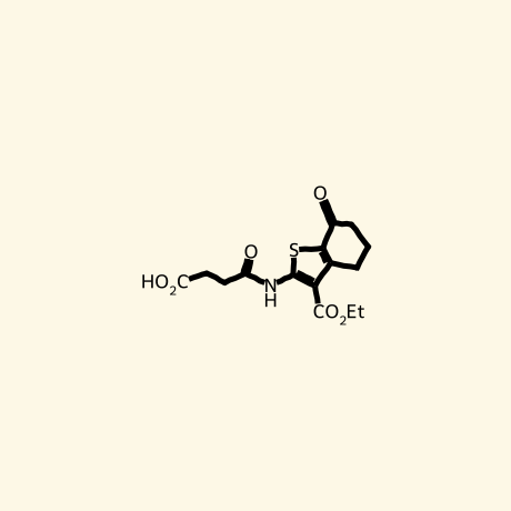 CCOC(=O)c1c(NC(=O)CCC(=O)O)sc2c1CCCC2=O